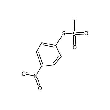 CS(=O)(=O)Sc1ccc([N+](=O)[O-])cc1